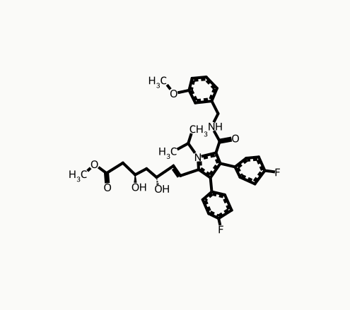 COC(=O)C[C@H](O)C[C@@H](O)C=Cc1c(-c2ccc(F)cc2)c(-c2ccc(F)cc2)c(C(=O)NCc2cccc(OC)c2)n1C(C)C